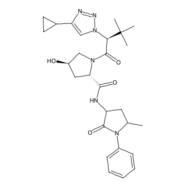 CC1CC(NC(=O)[C@@H]2C[C@@H](O)CN2C(=O)[C@@H](n2cc(C3CC3)nn2)C(C)(C)C)C(=O)N1c1ccccc1